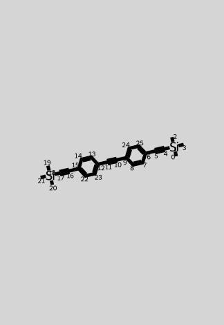 C[Si](C)(C)C#Cc1ccc(C#Cc2ccc(C#C[Si](C)(C)C)cc2)cc1